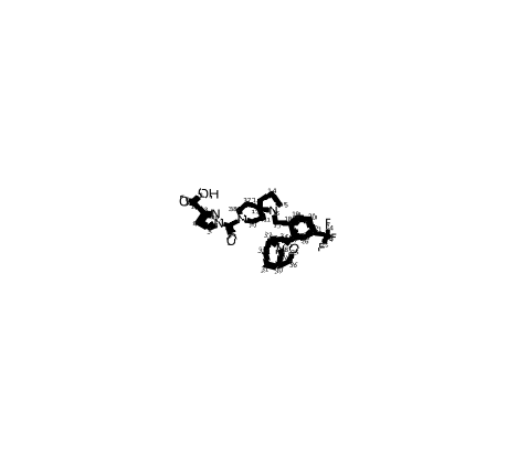 O=C(O)c1ccn(C(=O)N2CCC3(CCCN3Cc3ccc(C(F)(F)F)cc3N3CC4CCC3COC4)CC2)n1